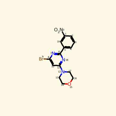 O=[N+]([O-])c1cccc(-c2nc(Br)cc(N3CCOCC3)n2)c1